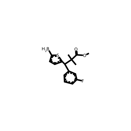 Bc1ccc(C(c2cccc(F)c2)C(C)(C)C(=O)OC)s1